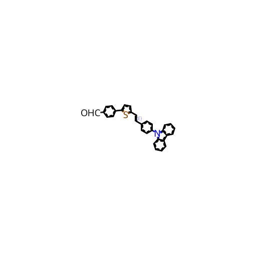 O=Cc1ccc(-c2ccc(/C=C/c3ccc(-n4c5ccccc5c5ccccc54)cc3)s2)cc1